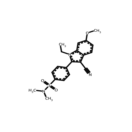 CCn1c(-c2ccc(S(=O)(=O)N(C)C)cc2)c(C#N)c2ccc(OC)cc21